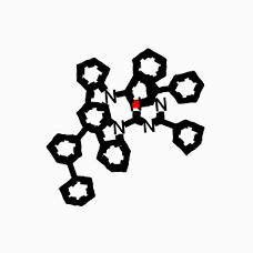 c1ccc(-c2ccc(-n3c4ccccc4c4cc(-c5cccc(-c6ccccc6)c5)c5c6ccccc6n(-c6nc(-c7ccccc7)nc(-c7ccccc7)n6)c5c43)cc2)cc1